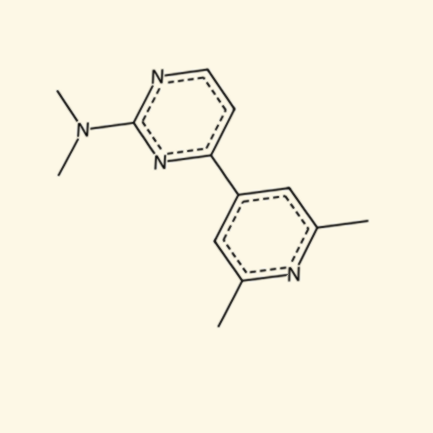 Cc1cc(-c2ccnc(N(C)C)n2)cc(C)n1